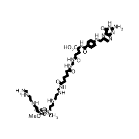 CO[Si](C)(CCCNCCNCN)O[Si](C)(CCCNCCNCNC(=O)CCCCC(=O)NCNC(=O)CCC(NC(=O)c1ccc(NCc2cnc3nc(N)[nH]c(=O)c3n2)cc1)C(=O)O)OC